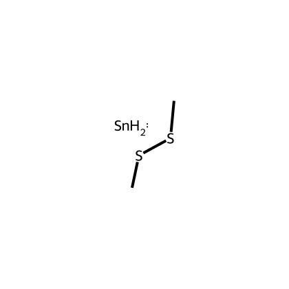 CSSC.[SnH2]